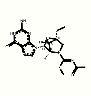 CC[C@@]12CN(/C(=N/C(C)=O)SC)[C@@H]([C@H](n3cnc4c(=O)[nH]c(N)nc43)O1)[C@@H]2C